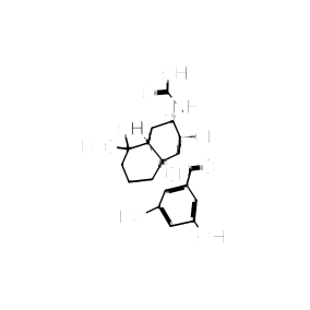 CC(=O)N[C@@H]1C[C@H]2C(C)(C)CCC[C@]2(C)[C@@H](C(=O)c2cc(C)cc(O)c2)[C@@H]1C